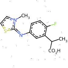 CC(C(=O)O)c1cc(N=c2sccn2C)ccc1F